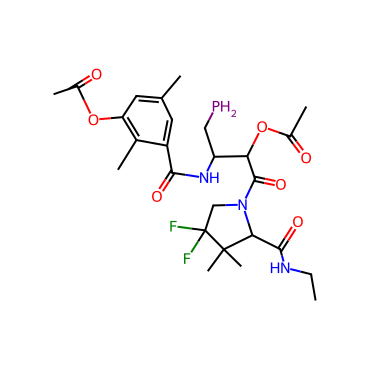 CCNC(=O)C1N(C(=O)C(OC(C)=O)C(CP)NC(=O)c2cc(C)cc(OC(C)=O)c2C)CC(F)(F)C1(C)C